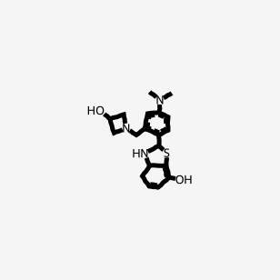 CN(C)c1ccc(C2NC3CC=CC(O)=C3S2)c(CN2CC(O)C2)c1